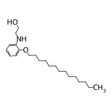 CCCCCCCCCCCCCCOc1ccccc1NCCO